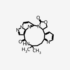 CC1(C)CCc2ncccc2C2COC(=O)N2c2ccn3ncc(c3n2)C(=O)N1